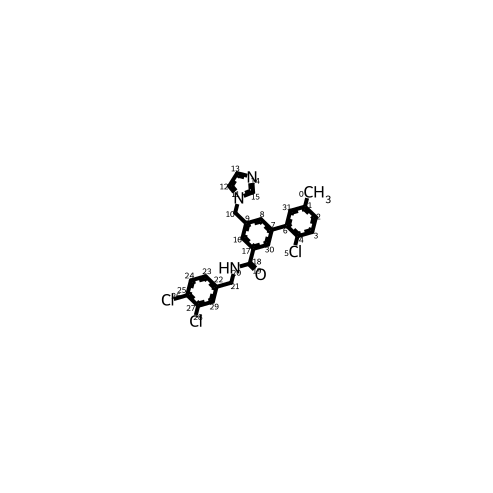 Cc1ccc(Cl)c(-c2cc(Cn3ccnc3)cc(C(=O)NCc3ccc(Cl)c(Cl)c3)c2)c1